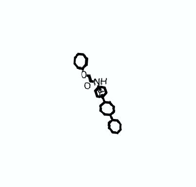 O=C(COC1CCCCCCC1)NC12CCC(C3CCCC(C4CCCCCCC4)CCC3)(CC1)CC2